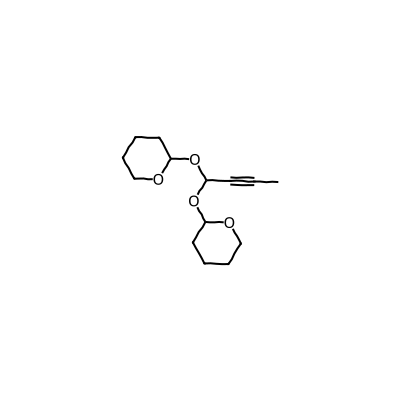 CC#CC(OC1CCCCO1)OC1CCCCO1